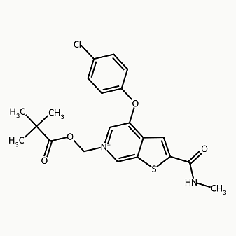 CNC(=O)c1cc2c(Oc3ccc(Cl)cc3)c[n+](COC(=O)C(C)(C)C)cc2s1